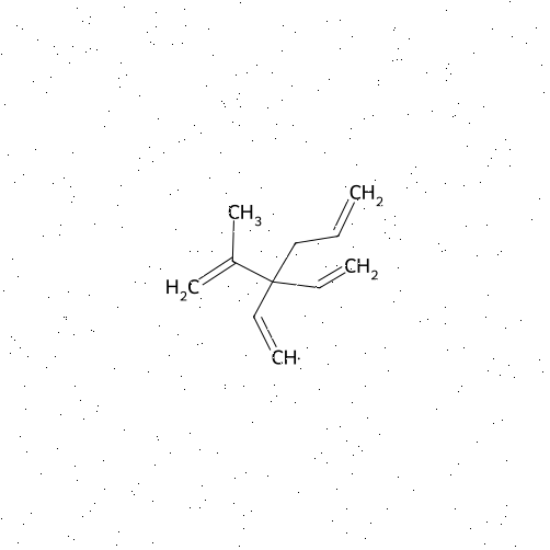 [CH]=CC(C=C)(CC=C)C(=C)C